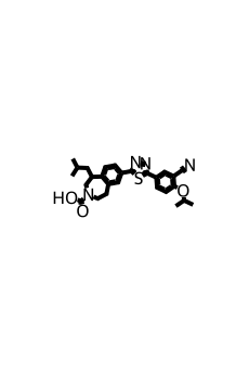 CC(C)CC1CN(C(=O)O)CCc2cc(-c3nnc(-c4ccc(OC(C)C)c(C#N)c4)s3)ccc21